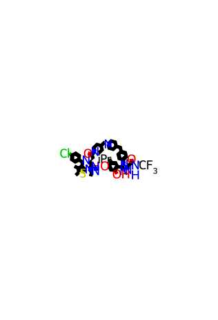 Cc1sc2c(c1C)C(c1ccc(Cl)cc1)=N[C@@H](CC(=O)N1CCC(CN3CCC(Cc4ccc(-n5c(C(=O)NCC(F)(F)F)nnc5-c5cc(C(C)C)c(O)cc5O)cc4)CC3)CC1)c1nnc(C)n1-2